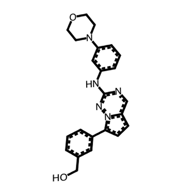 OCc1cccc(-c2ccc3cnc(Nc4cccc(N5CCOCC5)c4)nn23)c1